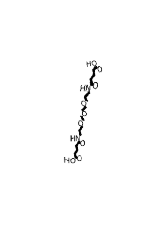 O=C(O)CCCC(=O)NCCCOCCOCCOCCCNC(=O)CCCC(=O)O